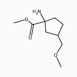 COCC1CCC(N)(C(=O)OC)C1